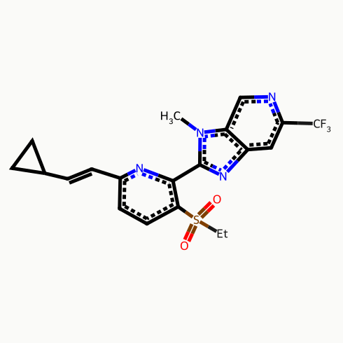 CCS(=O)(=O)c1ccc(/C=C/C2CC2)nc1-c1nc2cc(C(F)(F)F)ncc2n1C